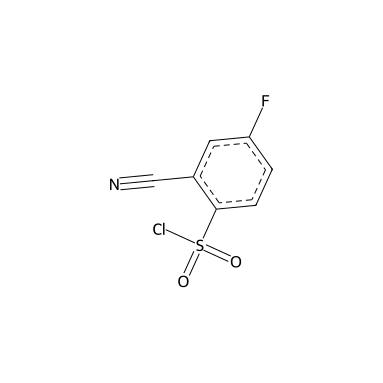 N#Cc1cc(F)ccc1S(=O)(=O)Cl